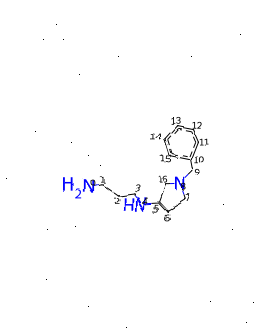 NCCCNC1CCN(Cc2ccccc2)C1